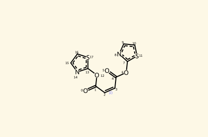 O=C(/C=C\C(=O)Oc1nccs1)Oc1nccs1